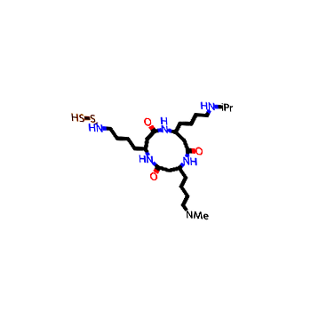 CNCCCCC1CC(=O)NC(CCCCNSS)CC(=O)NC(CCCCNC(C)C)CC(=O)N1